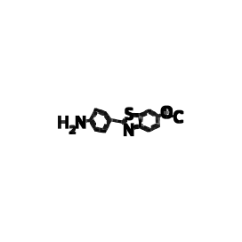 [11CH3]Oc1ccc2nc(-c3ccc(N)cc3)sc2c1